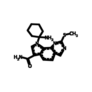 CSc1ncc2ccc3c(C(N)=O)cn(C4(N)CCCCC4)c3c2n1